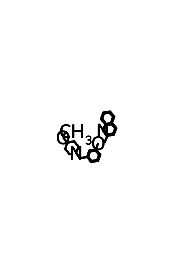 COC1CCN(Cc2cccc(OCc3ccc4ccccc4n3)c2)CC1